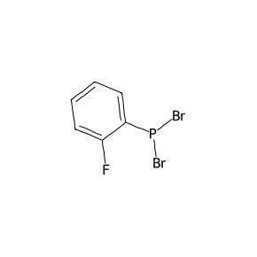 Fc1ccccc1P(Br)Br